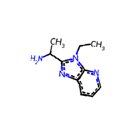 CCn1c(C(C)N)nc2cccnc21